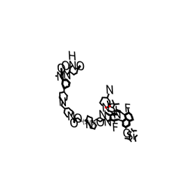 CC(C)[Si](C#Cc1c(F)ccc2cc(O[Si](C(C)C)(C(C)C)C(C)C)cc(-c3ncc4c(N5CCCC(C#N)CC5)nc(OC[C@@]56CCCN5[C@H](COC(=O)N5CCC(CN7CCC(c8ccc9c(c8)n(C)c(=O)n9C8CCC(=O)NC8=O)CC7)CC5)CC6)nc4c3F)c12)(C(C)C)C(C)C